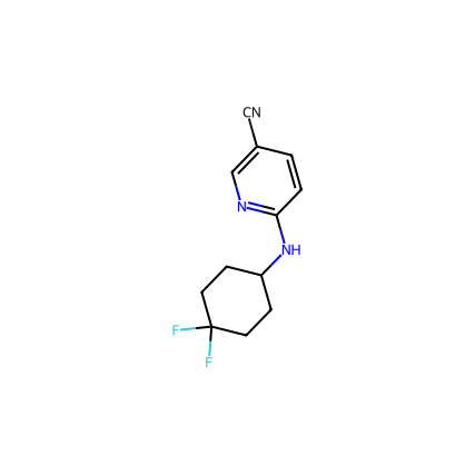 N#Cc1ccc(NC2CCC(F)(F)CC2)nc1